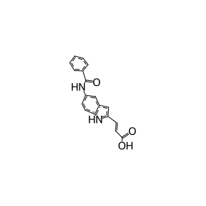 O=C(O)/C=C/c1cc2cc(NC(=O)c3ccccc3)ccc2[nH]1